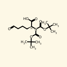 CC(C)(C)OC(=O)N(C(=O)OC(C)(C)C)[C@@H](CCCC=O)C(=O)O